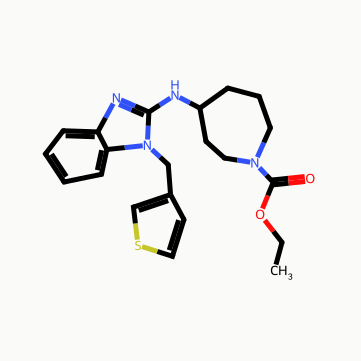 CCOC(=O)N1CCCC(Nc2nc3ccccc3n2Cc2ccsc2)CC1